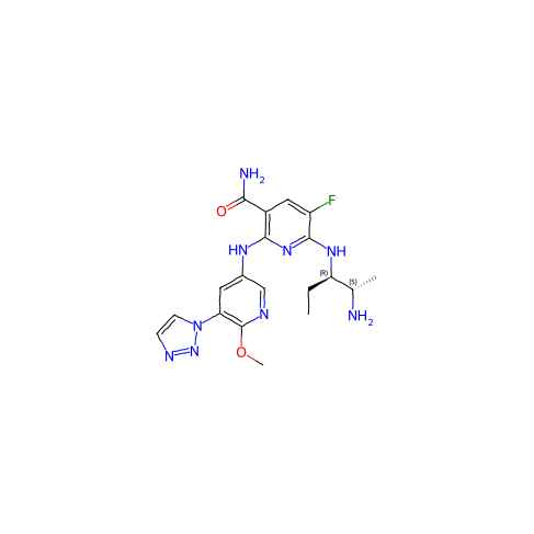 CC[C@@H](Nc1nc(Nc2cnc(OC)c(-n3ccnn3)c2)c(C(N)=O)cc1F)[C@H](C)N